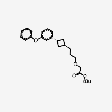 CC(C)(C)OC(=O)COCCC[C@H]1C[C@H](c2cccc(Oc3ccccc3)c2)C1